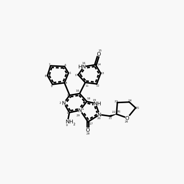 Nc1nc(-c2ccccc2)c(-c2ccc(=O)[nH]c2)c2[nH]n(C[C@H]3CCCO3)c(=O)[n+]12